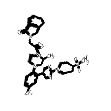 CC1CN(c2ccc(C(F)(F)F)cc2-c2cnc(N3CCC(S(C)(=O)=O)CC3)nc2)CCN1C(=O)CN1Cc2ccccc2C1=O